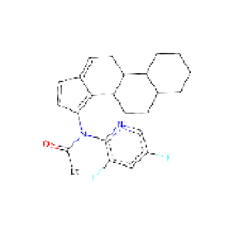 CCC(=O)N(C1=C2C(=CCC3C2CCC2CCCCC23)C=C1)c1ncc(F)cc1F